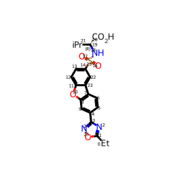 CCc1nc(-c2ccc3c(c2)oc2ccc(S(=O)(=O)N[C@@H](C(=O)O)C(C)C)cc23)no1